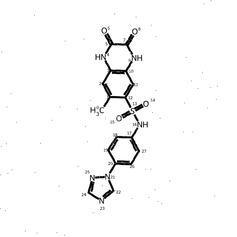 Cc1cc2[nH]c(=O)c(=O)[nH]c2cc1S(=O)(=O)Nc1ccc(-n2cncn2)cc1